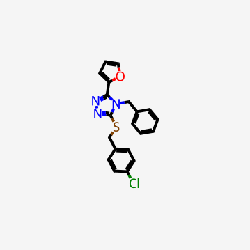 Clc1ccc(CSc2nnc(-c3ccco3)n2Cc2ccccc2)cc1